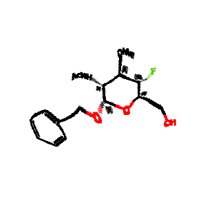 CO[C@H]1[C@H](F)[C@@H](CO)O[C@H](OCc2ccccc2)[C@@H]1NC(C)=O